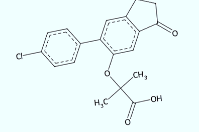 CC(C)(Oc1cc2c(cc1-c1ccc(Cl)cc1)CCC2=O)C(=O)O